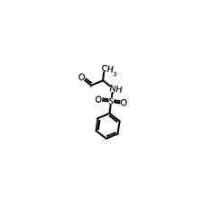 CC([C]=O)NS(=O)(=O)c1ccccc1